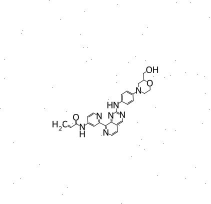 C=CC(=O)Nc1ccnc(-c2nccc3cnc(Nc4ccc(N5CCOC(CO)C5)cc4)nc23)c1